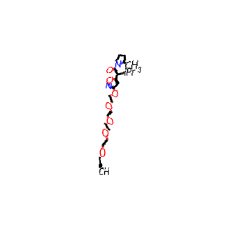 C#CCOCCOCCOCCOCCOc1cc(C(C(=O)N2CCCC2C)C(C)C)on1